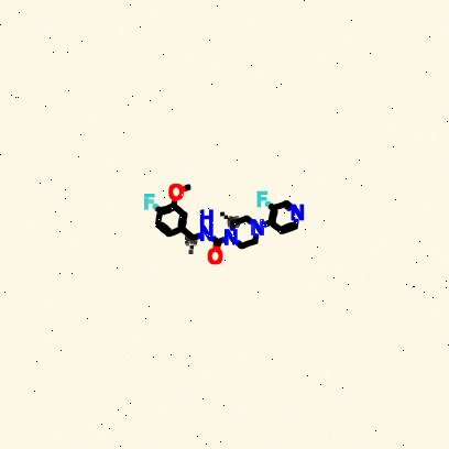 COc1cc([C@@H](C)NC(=O)N2CCN(c3ccncc3F)C[C@H]2C)ccc1F